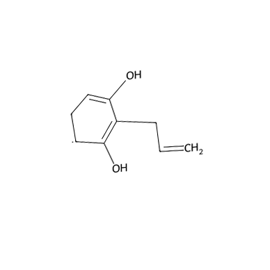 C=CCC1=C(O)[CH]CC=C1O